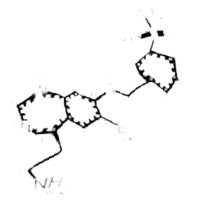 CS(=O)(=O)c1cccc(COc2cc3ncnc(CCN)c3cc2Br)c1